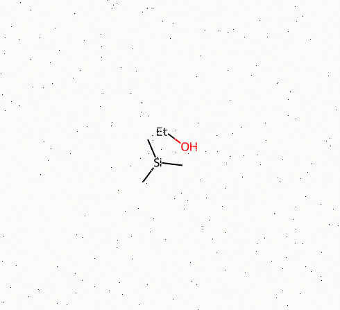 CCO.C[Si](C)C